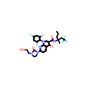 CCCC(C)(CC(F)(F)F)NC(=O)c1cn(-c2c(F)cc(F)cc2F)c2nc(N3CCN(CCO)C3=O)ccc2c1=O